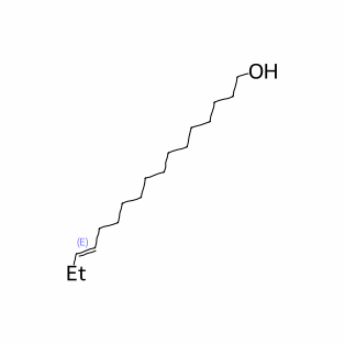 CC/C=C/CCCCCCCCCCCCCO